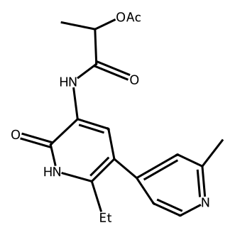 CCc1[nH]c(=O)c(NC(=O)C(C)OC(C)=O)cc1-c1ccnc(C)c1